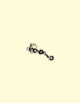 CCN1CC2(CCN(c3ccc(OCCCN4CCCCC4)cc3)CC2)OCC1=O